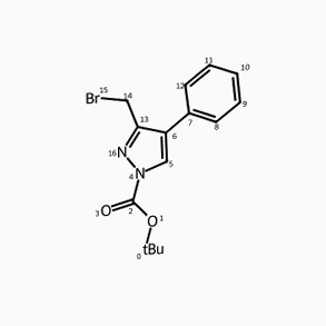 CC(C)(C)OC(=O)n1cc(-c2ccccc2)c(CBr)n1